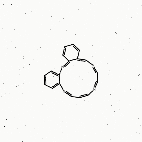 c1cnccncc2ccccc2nc2ccccc2nc1